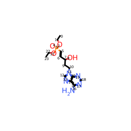 CCOP(=O)(C=CC(O)CCn1cnc2c(N)ncnc21)OCC